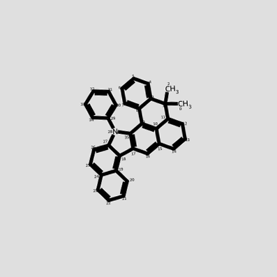 CC1(C)c2ccccc2-c2c3c1cccc3cc1c3c4ccccc4ccc3n(-c3ccccc3)c21